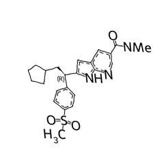 CNC(=O)c1cnc2[nH]c([C@H](CC3CCCC3)c3ccc(S(C)(=O)=O)cc3)cc2c1